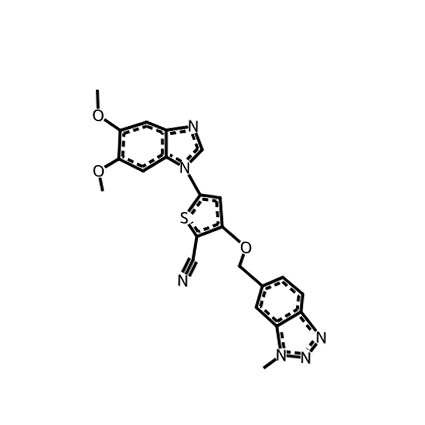 COc1cc2ncn(-c3cc(OCc4ccc5nnn(C)c5c4)c(C#N)s3)c2cc1OC